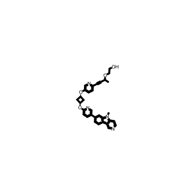 CC(C#Cc1ccc(O[C@H]2C[C@H](Oc3ccc(-c4ccc5c6cnccc6n(C)c5c4)cn3)C2)cn1)OCCO